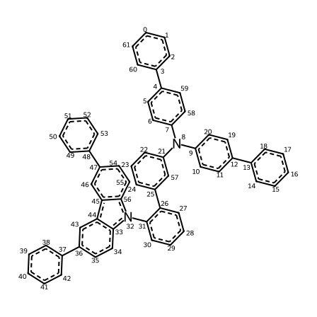 c1ccc(-c2ccc(N(c3ccc(-c4ccccc4)cc3)c3cccc(-c4ccccc4-n4c5ccc(-c6ccccc6)cc5c5cc(-c6ccccc6)ccc54)c3)cc2)cc1